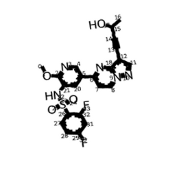 COc1ncc(-c2ccn3ncc(C#CC(C)O)c3n2)cc1NS(=O)(=O)c1ccc(F)cc1F